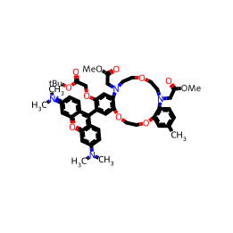 COC(=O)CN1CCOCCN(CC(=O)OC)c2cc(OCC(=O)OC(C)(C)C)c(-c3c4ccc(=[N+](C)C)cc-4oc4cc(N(C)C)ccc34)cc2OCCOc2cc(C)ccc21